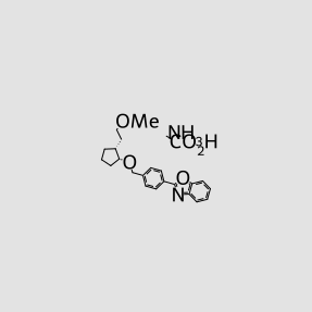 CC(=O)O.COCC[C@H]1CCC[C@H]1OCc1ccc(-c2nc3ccccc3o2)cc1.N